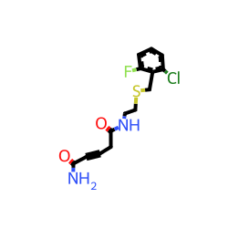 NC(=O)C#CCC(=O)NCCSCc1c(F)cccc1Cl